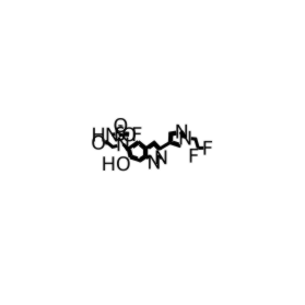 O=C1CN(c2c(O)cc3nnc(-c4cnn(CC(F)F)c4)cc3c2F)S(=O)(=O)N1